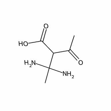 CC(=O)C(C(=O)O)C(C)(N)N